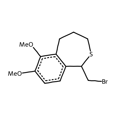 COc1ccc2c(c1OC)CCCSC2CBr